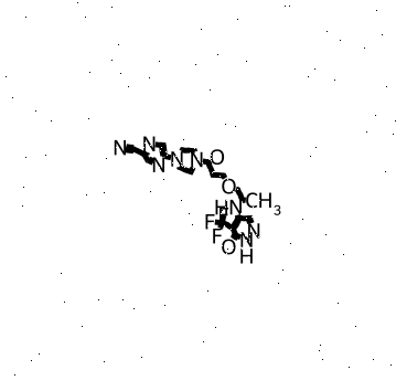 CC(COCCC(=O)N1CCN(c2cnc(C#N)cn2)CC1)Nc1cn[nH]c(=O)c1C(F)(F)F